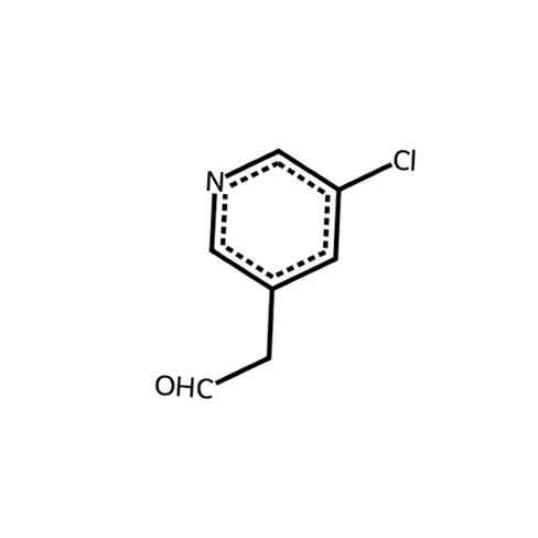 O=CCc1cncc(Cl)c1